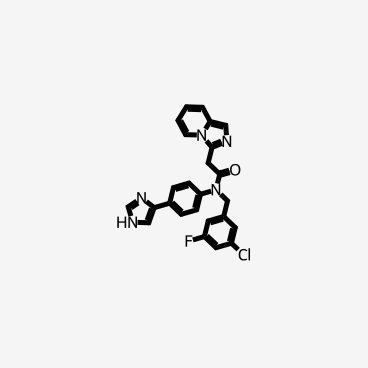 O=C(Cc1ncc2ccccn12)N(Cc1cc(F)cc(Cl)c1)c1ccc(-c2c[nH]cn2)cc1